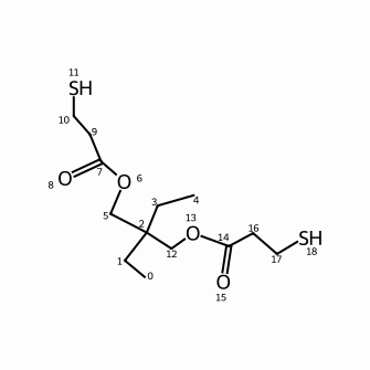 CCC(CC)(COC(=O)CCS)COC(=O)CCS